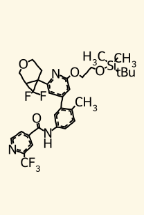 Cc1ccc(NC(=O)c2ccnc(C(F)(F)F)c2)cc1-c1cc(OCCO[Si](C)(C)C(C)(C)C)nc(C23CCOCC2C3(F)F)c1